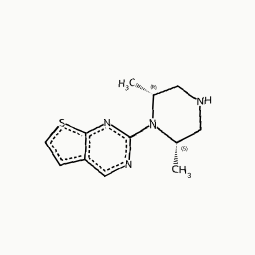 C[C@@H]1CNC[C@H](C)N1c1ncc2ccsc2n1